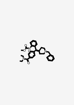 CCN(CC)C(=O)c1ccc(C(=C2CCN(Cc3ccccc3)CC2)c2ccccc2NC(=O)OC)cc1